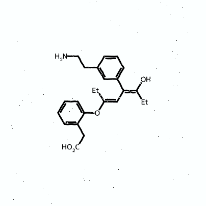 CC/C(O)=C(\C=C(/CC)Oc1ccccc1CC(=O)O)c1cccc(CCN)c1